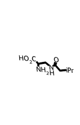 CC(C)CC(=O)NCC(N)C(=O)O